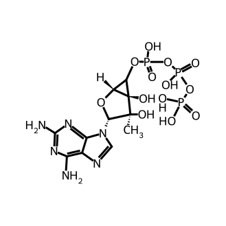 C[C@]1(O)[C@H](n2cnc3c(N)nc(N)nc32)O[C@@H]2C(OP(=O)(O)OP(=O)(O)OP(=O)(O)O)[C@@]21O